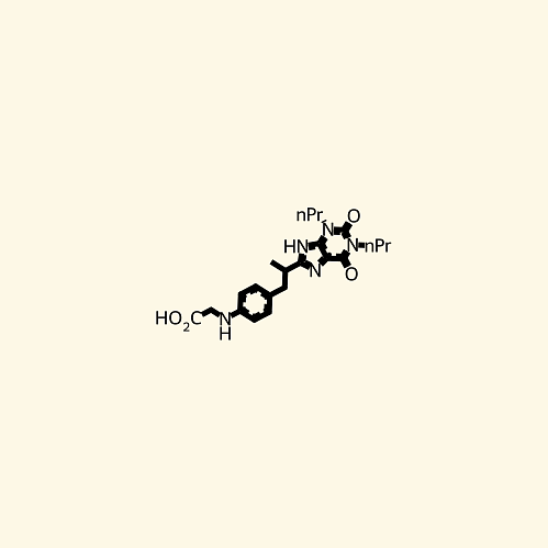 CCCn1c(=O)c2nc(C(C)Cc3ccc(NCC(=O)O)cc3)[nH]c2n(CCC)c1=O